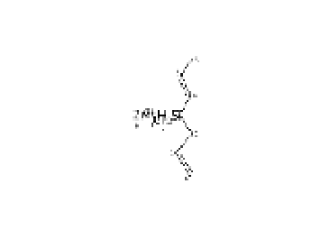 C=CC[SiH2]C=CC.[Cl-].[Cl-].[Zr+2]